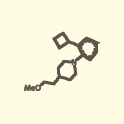 COCCC1CCN(c2cc[c]cc2C2CCC2)CC1